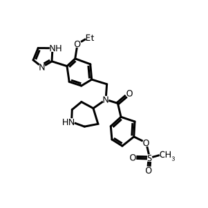 CCOc1cc(CN(C(=O)c2cccc(OS(C)(=O)=O)c2)C2CCNCC2)ccc1-c1ncc[nH]1